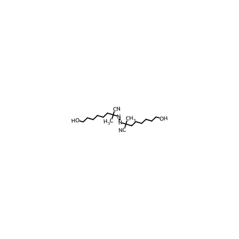 CC(C#N)(CCCCCCO)/N=N/C(C)(C#N)CCCCCCO